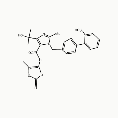 CCCCc1nc(C(C)(C)O)c(C(=O)Oc2oc(=O)oc2C)n1Cc1ccc(-c2ccccc2C(=O)O)cc1